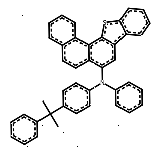 CC(C)(c1ccccc1)c1ccc(N(c2ccccc2)c2cc3c4ccccc4sc3c3c2ccc2ccccc23)cc1